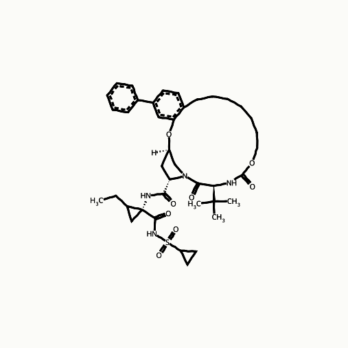 CCC1C[C@]1(NC(=O)[C@@H]1C[C@@H]2CN1C(=O)[C@H](C(C)(C)C)NC(=O)OCCCCCCCc1ccc(-c3ccccc3)cc1O2)C(=O)NS(=O)(=O)C1CC1